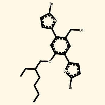 CCCCC(CC)COc1cc(-c2ccc(Br)s2)c(CO)cc1-c1ccc(Br)s1